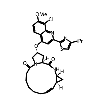 COc1ccc2c(O[C@@H]3C[C@H]4C(=O)N[C@@H]5C[C@H]5/C=C\CCCCCC(=O)N4C3)cc(-c3nc(C(C)C)cs3)nc2c1Cl